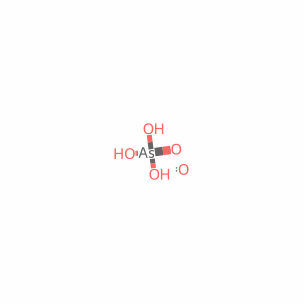 O=[As](O)(O)O.[O]